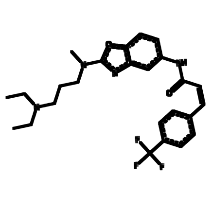 CCN(CC)CCCN(C)c1nc2cc(NC(=O)/C=C\c3ccc(C(F)(F)F)cc3)ccc2o1